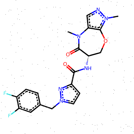 CN1C(=O)[C@@H](NC(=O)c2ccn(Cc3ccc(F)c(F)c3)n2)COc2c1cnn2C